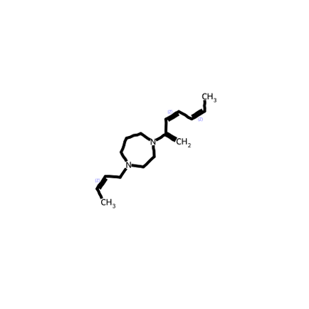 C=C(/C=C\C=C/C)N1CCCN(C/C=C\C)CC1